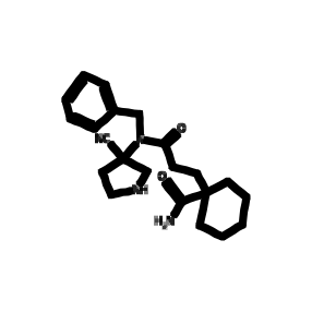 N#CC1(N(Cc2ccccc2)C(=O)[CH]CC2(C(N)=O)CCCCC2)CCNC1